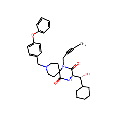 CC#CCN1C(=O)[C@@H]([C@H](O)C2CCCCC2)NC(=O)C12CCN(Cc1ccc(Oc3ccccc3)cc1)CC2